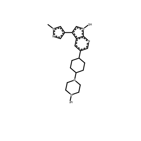 CC(C)N1CCN(C2CCC(c3cnc4c(c3)c(-c3cnn(C)c3)cn4S)CC2)CC1